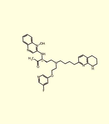 CC(=O)[C@H](CCN(CCCCc1ccc2c(n1)NCCC2)CCOc1cncc(F)c1)Nc1cnc2ccccc2[n+]1O